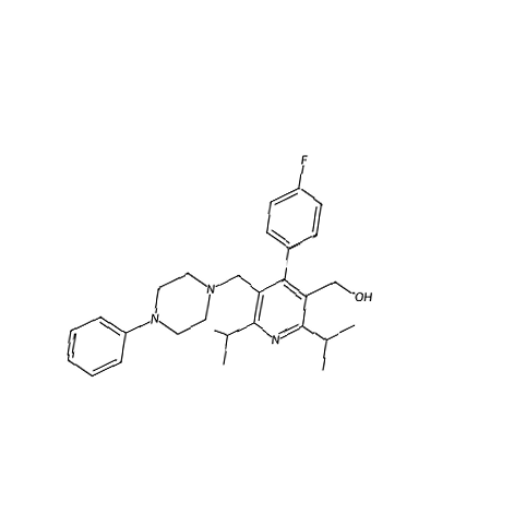 CC(C)c1nc(C(C)C)c(CN2CCN(c3ccccc3)CC2)c(-c2ccc(F)cc2)c1CO